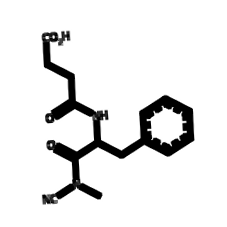 CN(C#N)C(=O)C(Cc1ccccc1)NC(=O)CCC(=O)O